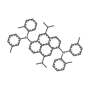 Cc1cccc(N(c2ccccc2C)c2ccc3c(C(C)C)cc4c(N(c5cccc(C)c5)c5ccccc5C)ccc5c(C(C)C)cc2c3c54)c1